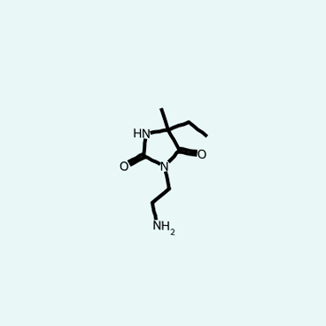 CCC1(C)NC(=O)N(CCN)C1=O